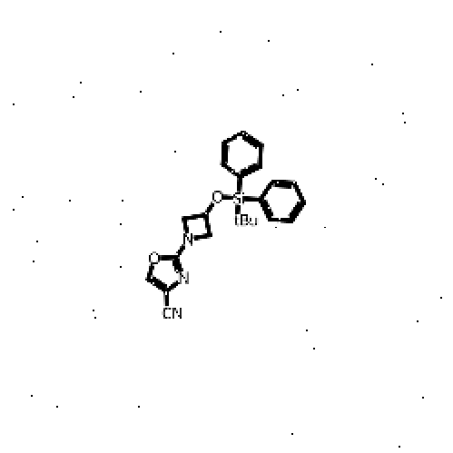 CC(C)(C)[Si](OC1CN(c2nc(C#N)co2)C1)(c1ccccc1)c1ccccc1